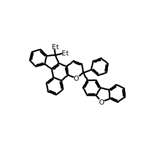 CCC1(CC)c2ccccc2-c2c1c1c(c3ccccc23)OC(c2ccccc2)(c2ccc3oc4ccccc4c3c2)C=C1